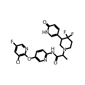 CC(C(=O)Nc1ccc(Oc2ncc(F)cc2Cl)cn1)N1CCC(F)(F)C(c2ccc(=O)[nH]c2)C1